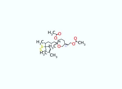 CC(=O)OC/C=C1\CC[C@@H](OC(C)=O)[C@](C)(CCCC(C)C2(CC=C(C)C)CCSS2)OC1